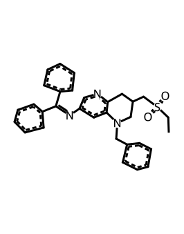 CCS(=O)(=O)CC1Cc2ncc(N=C(c3ccccc3)c3ccccc3)cc2N(Cc2ccccc2)C1